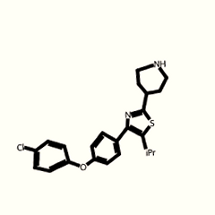 CC(C)c1sc(C2CCNCC2)nc1-c1ccc(Oc2ccc(Cl)cc2)cc1